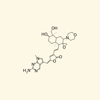 Cn1cc(/C=C2C=C(/C=C/C3C4(CO4)C(N4CCOCC4)CC4[C@]3(C)CC[C@@H](O)[C@@]4(C)CO)C(=O)O\2)c2cnc(N)nc21